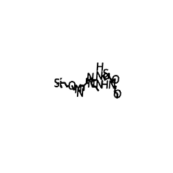 COCCNC(=O)c1csc(Nc2nc(C)cn3c(-c4cnn(COCC[Si](C)(C)C)c4)cnc23)c1